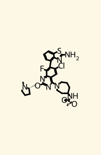 CN1CCC[C@H]1COc1nc(N2CCCC(NS(C)(=O)=O)CC2)c2cc(Cl)c(-c3cccc4sc(N)nc34)c(F)c2n1